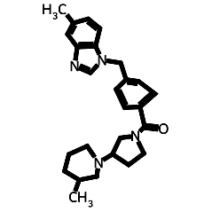 Cc1ccc2c(c1)ncn2Cc1ccc(C(=O)N2CCC(N3CCCC(C)C3)C2)cc1